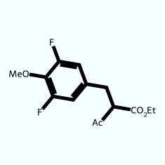 CCOC(=O)C(Cc1cc(F)c(OC)c(F)c1)C(C)=O